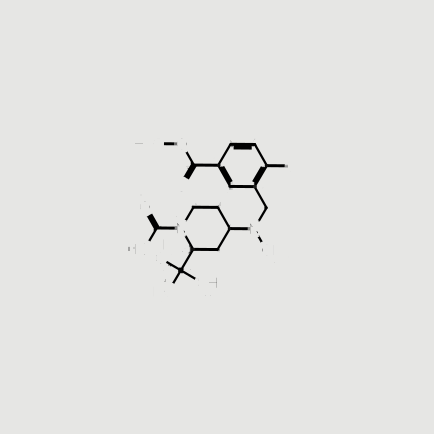 COC(=O)c1ccc(Cl)c(CN(C)C2CCN(C(=O)O)C(C(C)(C)C)C2)c1